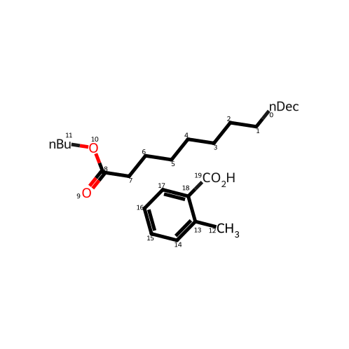 CCCCCCCCCCCCCCCCCC(=O)OCCCC.Cc1ccccc1C(=O)O